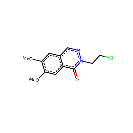 COc1cc2cnn(CCCl)c(=O)c2cc1OC